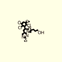 COc1cc(OC)c(Cl)c(-c2cc3cnc(SC)nc3n3cc(CCCO)nc23)c1Cl